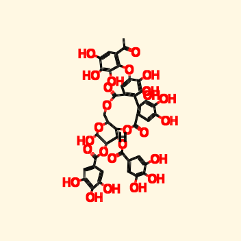 CC(=O)c1cc(O)c(O)c(O)c1Oc1cc2c(c(O)c1O)-c1c(cc(O)c(O)c1O)C(=O)O[C@@H]1C(COC2=O)OC(O)C(OC(=O)c2cc(O)c(O)c(O)c2)[C@H]1OC(=O)c1cc(O)c(O)c(O)c1